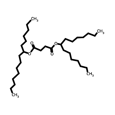 CCCCCCCCC(CCCCCC)OC(=O)CCC(=O)OC(CCCCCCC)CCCCCCC